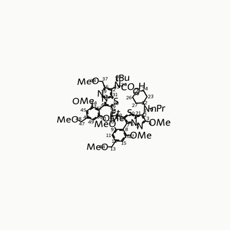 CCCN(c1c(OC)nn2c(-c3c(OC)cc(COC)cc3OC)c(CC)sc12)C1CCOCC1.CCc1sc2c(N(C(=O)O)C(C)(C)C)c(COC)nn2c1-c1c(OC)cc(COC)cc1OC